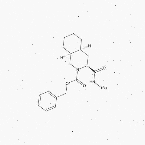 CC(C)(C)NC(=O)[C@@H]1C[C@@H]2CCCC[C@@H]2CN1C(=O)OCc1ccccc1